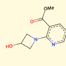 COC(=O)c1cccnc1N1CC(O)C1